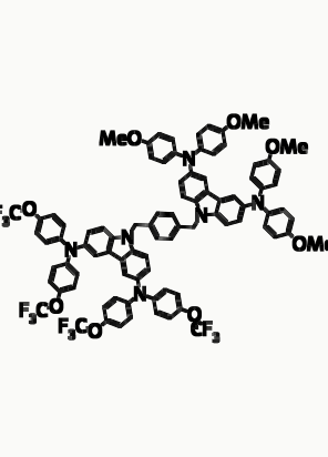 COc1ccc(N(c2ccc(OC)cc2)c2ccc3c(c2)c2cc(N(c4ccc(OC)cc4)c4ccc(OC)cc4)ccc2n3Cc2ccc(Cn3c4ccc(N(c5ccc(OC(F)(F)F)cc5)c5ccc(OC(F)(F)F)cc5)cc4c4cc(N(c5ccc(OC(F)(F)F)cc5)c5ccc(OC(F)(F)F)cc5)ccc43)cc2)cc1